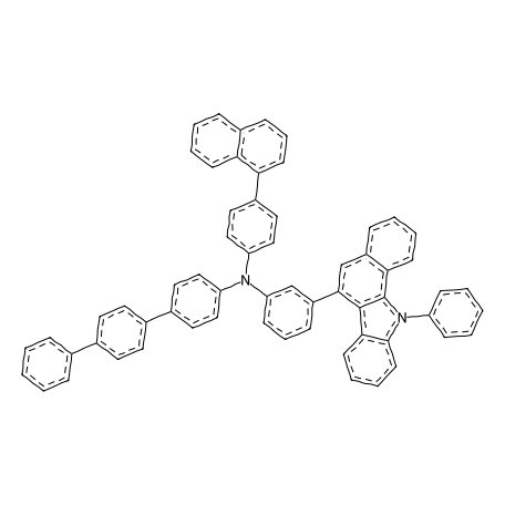 c1ccc(-c2ccc(-c3ccc(N(c4ccc(-c5cccc6ccccc56)cc4)c4cccc(-c5cc6ccccc6c6c5c5ccccc5n6-c5ccccc5)c4)cc3)cc2)cc1